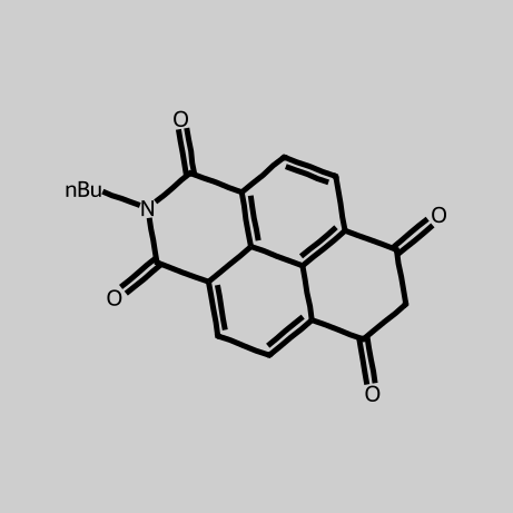 CCCCN1C(=O)c2ccc3c4c(ccc(c24)C1=O)C(=O)CC3=O